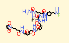 CC(C)C(NC(=O)C[C@H]1CC[C@@H](CNC(=O)C[C@H]2CC[C@@H](CNC(=O)CCCCCN3C(=O)C=CC3=O)O2)O1)C(=O)NC(CCCNC(N)=O)C(=O)Nc1ccc(CCNF)cc1